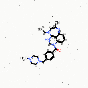 CN1CCN(Cc2ccc(C(=O)N3CNC4=c5c3cccc5=NC(C#N)=CN4CC(C)(C)C)cc2)CC1